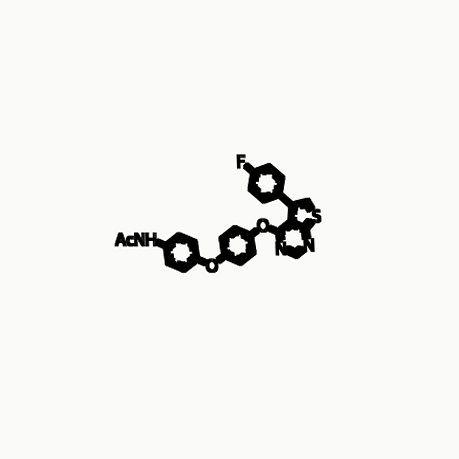 CC(=O)Nc1ccc(Oc2ccc(Oc3ncnc4scc(-c5ccc(F)cc5)c34)cc2)cc1